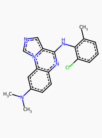 Cc1cccc(Cl)c1Nc1nc2ccc(N(C)C)cc2n2cncc12